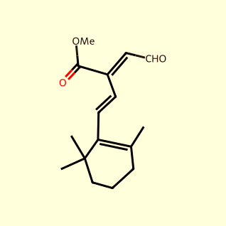 COC(=O)C(/C=C/C1=C(C)CCCC1(C)C)=C/C=O